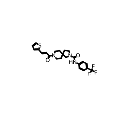 O=C(/C=C/c1cccs1)N1CCC2(CC1)CCN(C(=O)Nc1ccc(C(F)(F)F)cc1)C2